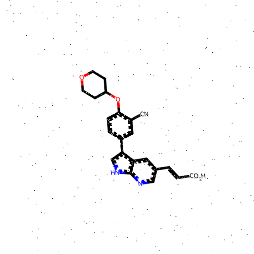 N#Cc1cc(-c2c[nH]c3ncc(/C=C/C(=O)O)cc23)ccc1OC1CCOCC1